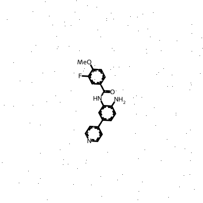 COc1ccc(C(=O)Nc2cc(-c3ccncc3)ccc2N)cc1F